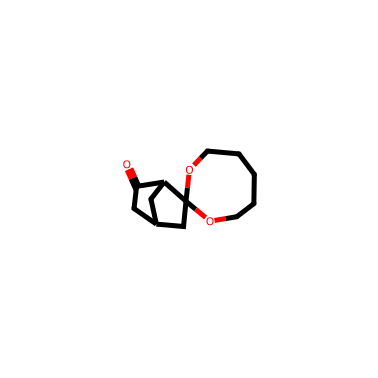 O=C1CC2CC1C1(C2)OCCCCCO1